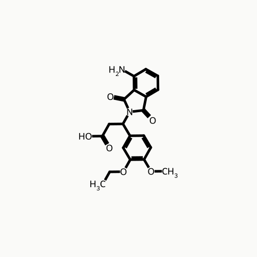 CCOc1cc(C(CC(=O)O)N2C(=O)c3cccc(N)c3C2=O)ccc1OC